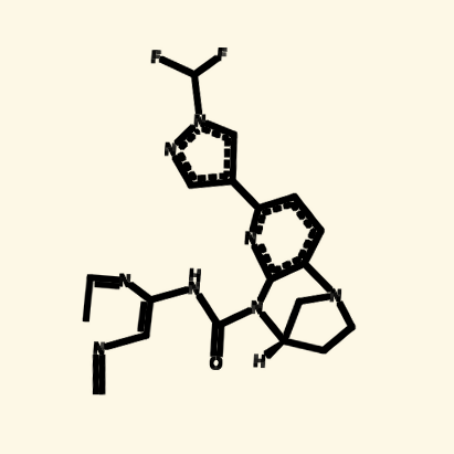 C=N/C=C(\N=C/C)NC(=O)N1c2nc(-c3cnn(C(F)F)c3)ccc2N2CC[C@H]1C2